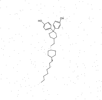 CCCCCCCC[C@H]1CC[C@H](CCC2CCC(c3ccc(O)cc3)(c3ccc(O)cc3)CC2)CC1